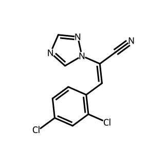 N#C/C(=C/c1ccc(Cl)cc1Cl)n1cncn1